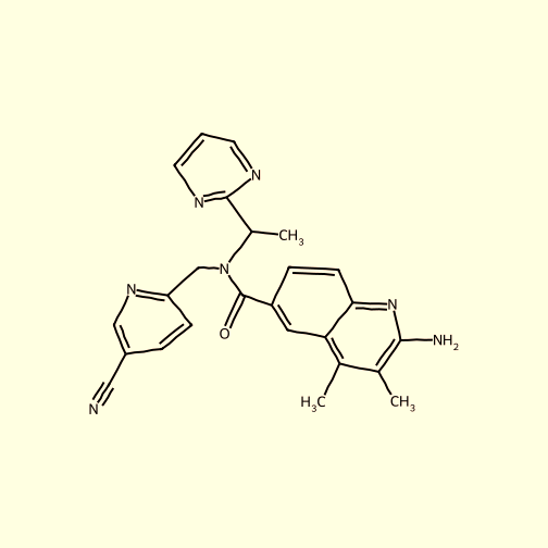 Cc1c(N)nc2ccc(C(=O)N(Cc3ccc(C#N)cn3)C(C)c3ncccn3)cc2c1C